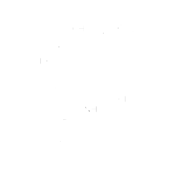 COc1cc(C)c2c(c1C(C)(C)C)OCC(=O)N2